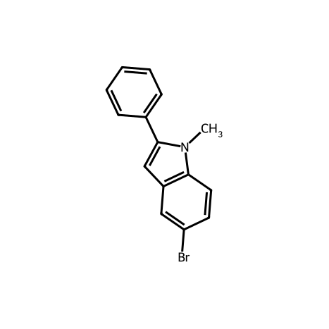 Cn1c(-c2ccccc2)cc2cc(Br)ccc21